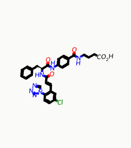 O=C(O)CCCNC(=O)c1ccc(NC(=O)[C@H](Cc2ccccc2)NC(=O)C=Cc2cc(Cl)ccc2-n2cnnn2)cc1